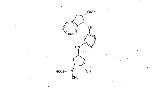 CO[C@H]1Cc2ccccc2[C@H]1Nc1cc(N[C@H]2C[C@H](O)[C@@H](N(C)S(=O)(=O)O)C2)ncn1